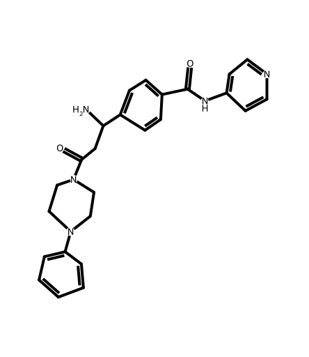 NC(CC(=O)N1CCN(c2ccccc2)CC1)c1ccc(C(=O)Nc2ccncc2)cc1